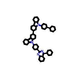 c1ccc(-c2ccc(-n3c4ccccc4c4ccc(-c5ccc6c(c5)c5ccccc5n6-c5ccc(-c6nc(-c7ccccc7)c7ccccc7n6)cc5)cc43)cc2)cc1